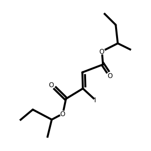 CCC(C)OC(=O)C=C(I)C(=O)OC(C)CC